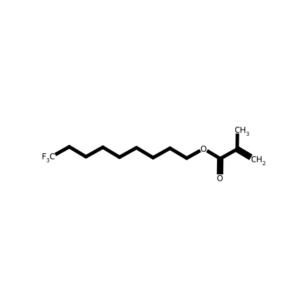 C=C(C)C(=O)OCCCCCCCCC(F)(F)F